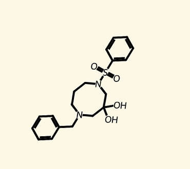 O=S(=O)(c1ccccc1)N1CCCN(Cc2ccccc2)CC(O)(O)C1